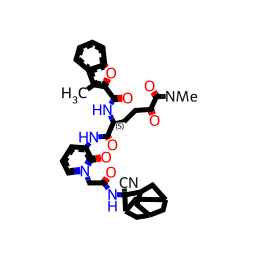 CNC(=O)C(=O)CC[C@H](NC(=O)c1oc2ccccc2c1C)C(=O)Nc1cccn(CC(=O)NC2(C#N)C3CC4CC(C3)CC2C4)c1=O